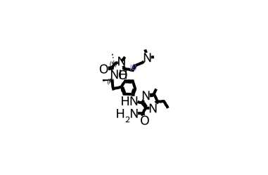 CCc1nc(C(N)=O)c(Nc2cccc(C[C@@H](C)NC(=O)[C@H](C)N(C)C(=O)/C=C/CN(C)C)c2)nc1C